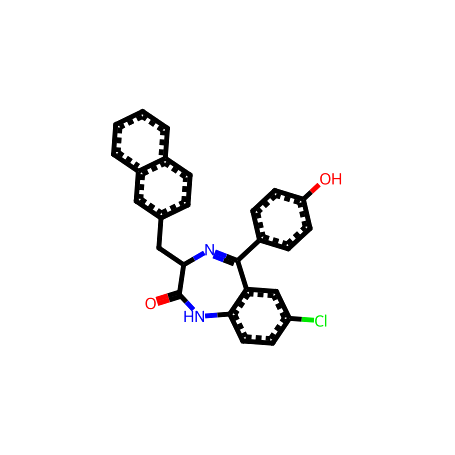 O=C1Nc2ccc(Cl)cc2C(c2ccc(O)cc2)=NC1Cc1ccc2ccccc2c1